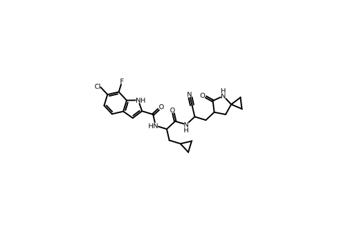 N#CC(CC1CC2(CC2)NC1=O)NC(=O)C(CC1CC1)NC(=O)c1cc2ccc(Cl)c(F)c2[nH]1